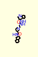 Cc1cc(NC(=O)NCCN2CCCC(C(=O)Nc3ccc4ccccc4c3)C2)c2ccccc2n1